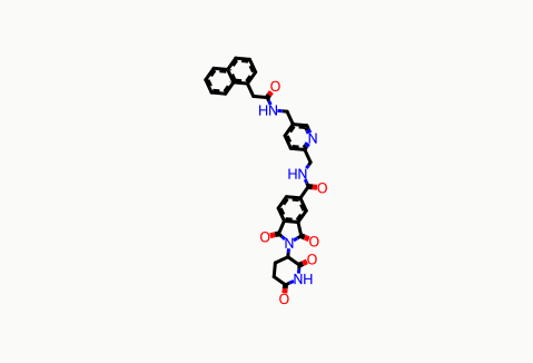 O=C(Cc1cccc2ccccc12)NCc1ccc(CNC(=O)c2ccc3c(c2)C(=O)N(C2CCC(=O)NC2=O)C3=O)nc1